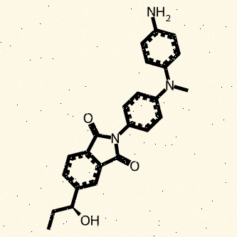 CC[C@H](O)c1ccc2c(c1)C(=O)N(c1ccc(N(C)c3ccc(N)cc3)cc1)C2=O